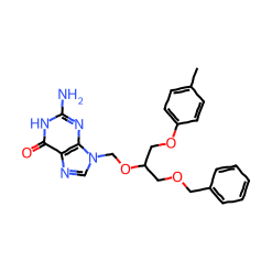 Cc1ccc(OCC(COCc2ccccc2)OCn2cnc3c(=O)[nH]c(N)nc32)cc1